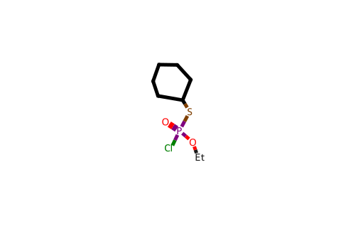 CCOP(=O)(Cl)SC1CCCCC1